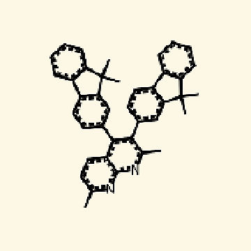 Cc1ccc2c(-c3ccc4c(c3)C(C)(C)c3ccccc3-4)c(-c3ccc4c(c3)C(C)(C)c3ccccc3-4)c(C)nc2n1